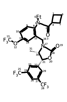 CCN(C(=O)C1CCC1)c1ccc(OC(F)(F)F)cc1CN1C(=O)O[C@H](c2cc(C(F)(F)F)cc(C(F)(F)F)c2)[C@@H]1C